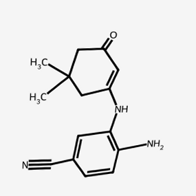 CC1(C)CC(=O)C=C(Nc2cc(C#N)ccc2N)C1